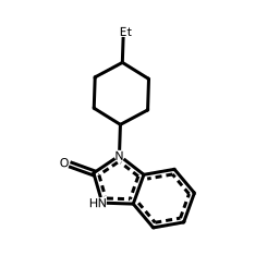 CCC1CCC(n2c(=O)[nH]c3ccccc32)CC1